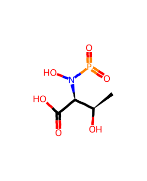 C[C@@H](O)[C@@H](C(=O)O)N(O)P(=O)=O